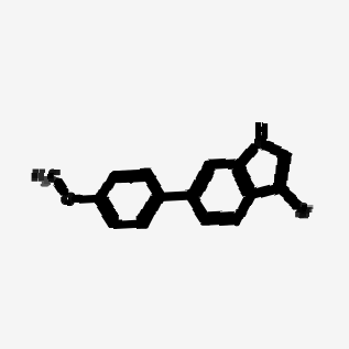 COc1ccc(-c2ccc3c(Br)c[nH]c3c2)cc1